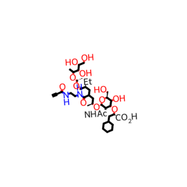 C#CC(=O)NCCNC(=O)C(C[C@@H](CC)CO[C@@H](C)OC(C)C(O)[C@H](O)CO)C[C@H](C)O[C@@H]1O[C@@H](CO)C(O)C(O[C@@H](CC2CCCCC2)C(=O)O)C1NC(C)=O